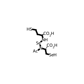 CC(=O)N([Se]N[C@@H](CCS)C(=O)O)[C@@H](C[SeH])C(=O)O